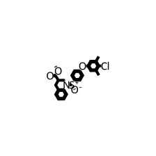 COC(=O)C1Cc2ccccc2N([S+]([O-])c2ccc(Oc3cc(C)c(Cl)c(C)c3)cc2)C1